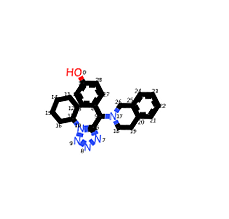 Oc1ccc(C(c2nnnn2C2CCCCC2)N2CCc3ccccc3C2)cc1